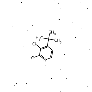 CC(C)(C)c1ccnc([O])c1Cl